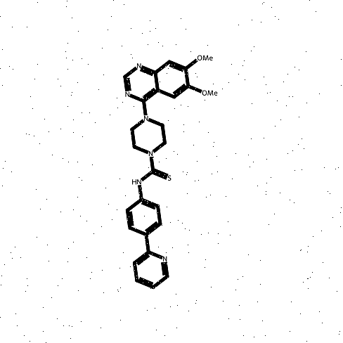 COc1cc2ncnc(N3CCN(C(=S)Nc4ccc(-c5ccccn5)cc4)CC3)c2cc1OC